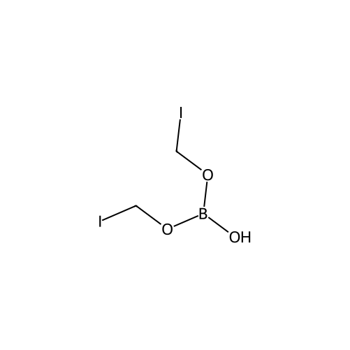 OB(OCI)OCI